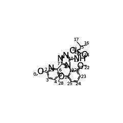 COc1cccc(-c2nnc(NS(=O)(=O)C(C)C)n2-c2c(OC)cccc2OC)n1